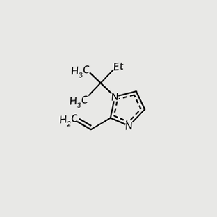 C=Cc1nccn1C(C)(C)CC